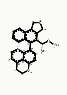 CC(=O)[C@@H](OC(C)(C)C)c1c2c(c3ccccc3c1-c1ccc3c4c(ccnc14)CCO3)COC2